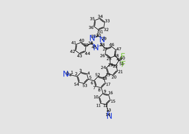 N#Cc1ccc(-c2cc(-c3ccc(C#N)cc3)cc(-c3ccc4c(c3)-c3cc(-c5nc(-c6ccccc6)nc(-c6ccccc6)n5)ccc3C4(F)F)c2)cc1